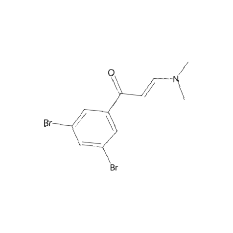 CN(C)/C=C/C(=O)c1cc(Br)cc(Br)c1